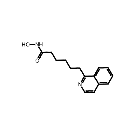 O=C(CCCCCc1nccc2ccccc12)NO